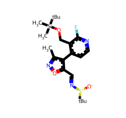 Cc1noc(C=N[S+]([O-])C(C)(C)C)c1-c1ccnc(F)c1CO[Si](C)(C)C(C)(C)C